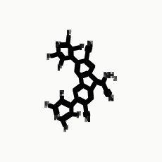 N#CC(N)=C1c2cc(C#N)c(-c3c(F)c(F)nc(F)c3F)cc2-c2cc(-c3c(F)c(F)nc(F)c3F)c(C#N)cc21